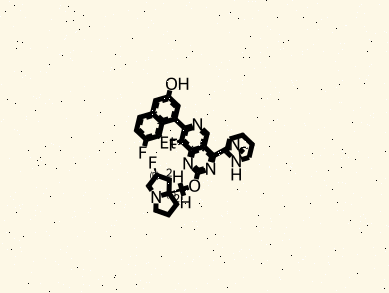 [2H]C([2H])(Oc1nc(N2CC3CCC2CN3)c2cnc(-c3cc(O)cc4ccc(F)c(CC)c34)c(F)c2n1)[C@@]12CCCN1C[C@H](F)C2